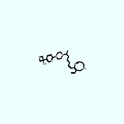 C=C/C1=C(\C=C/CCCC(C)N2CCN(c3ccc(C4(O)COC4)cn3)CC2)/N=C\CCPC1